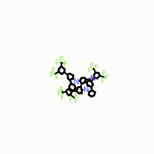 N#Cc1ccc(-n2c3ccccc3c3cc(-c4cc(C(F)(F)F)cc(C(F)(F)F)c4)ccc32)c(-c2cc(-c3ccc(C(F)(F)F)cc3C(F)(F)F)ccc2-n2c3ccccc3c3cc(-c4cc(C(F)(F)F)cc(C(F)(F)F)c4)ccc32)c1